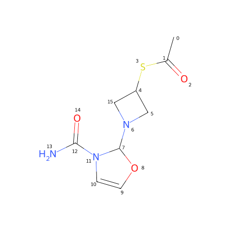 CC(=O)SC1CN(C2OC=CN2C(N)=O)C1